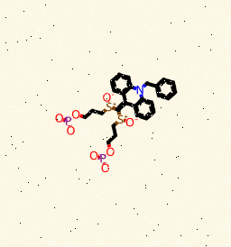 O=P(=O)OCCC[S+]([O-])C(=C1c2ccccc2N(Cc2ccccc2)c2ccccc21)[S+]([O-])CCCOP(=O)=O